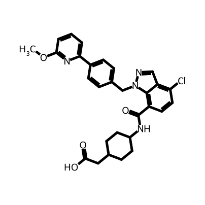 COc1cccc(-c2ccc(Cn3ncc4c(Cl)ccc(C(=O)NC5CCC(CC(=O)O)CC5)c43)cc2)n1